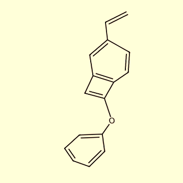 C=Cc1ccc2c(c1)C=C2Oc1ccccc1